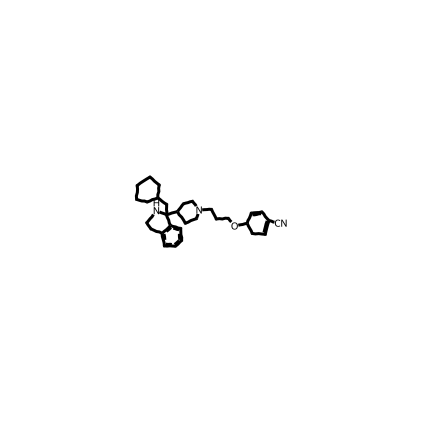 N#CC1=CCC(OCCCN2CCC(C3(CC4CCCCC4)NCCc4ccccc43)CC2)C=C1